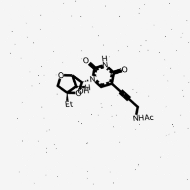 CC[C@]12COC([C@H](n3cc(C#CCNC(C)=O)c(=O)[nH]c3=O)O1)[C@@H]2O